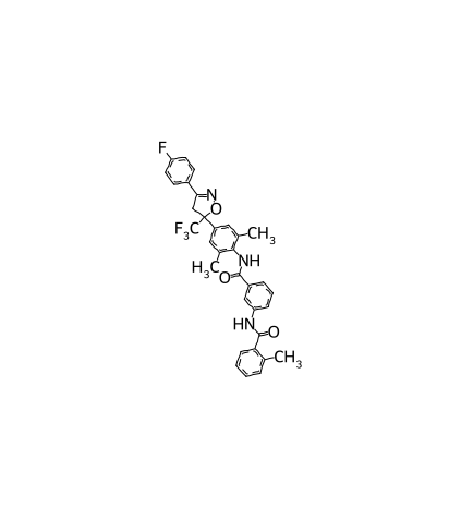 Cc1ccccc1C(=O)Nc1cccc(C(=O)Nc2c(C)cc(C3(C(F)(F)F)CC(c4ccc(F)cc4)=NO3)cc2C)c1